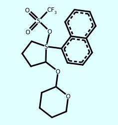 O=S(=O)(OS1(c2cccc3ccccc23)CCCC1OC1CCCCO1)C(F)(F)F